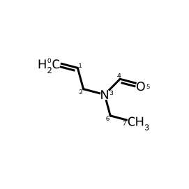 C=CCN(C=O)CC